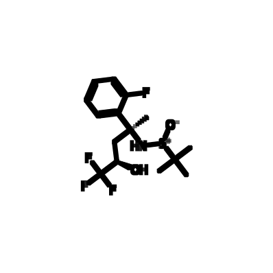 CC(C)(C)[S+]([O-])N[C@@](C)(C[C@@H](O)C(F)(F)F)c1ccccc1F